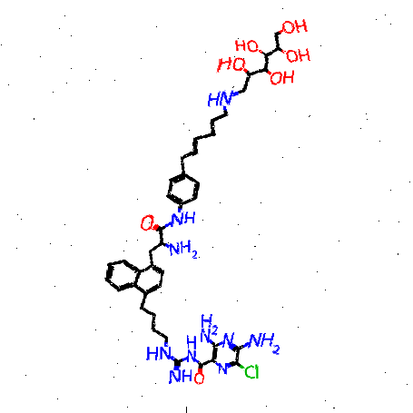 N=C(NCCCCc1ccc(CC(N)C(=O)Nc2ccc(CCCCCCNCC(O)C(O)C(O)C(O)CO)cc2)c2ccccc12)NC(=O)c1nc(Cl)c(N)nc1N